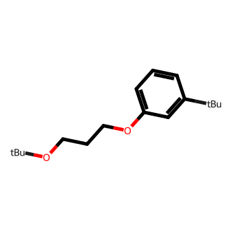 CC(C)(C)OCCCOc1cccc(C(C)(C)C)c1